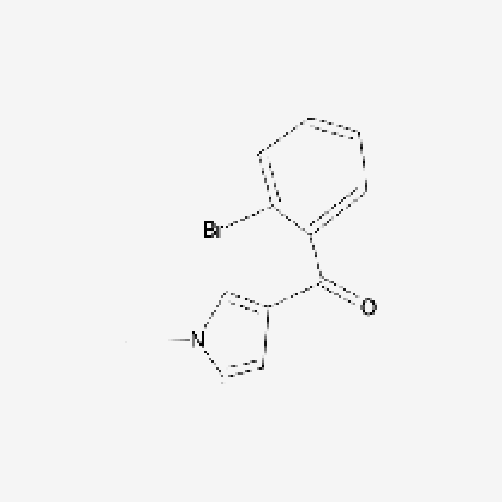 Cn1[c]cc(C(=O)c2ccccc2Br)c1